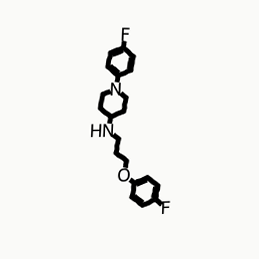 Fc1ccc(OCCCNC2CCN(c3ccc(F)cc3)CC2)cc1